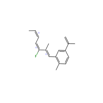 C=C(C)c1ccc(C)c(/C=C(C)/C(F)=C\C=C/C)c1